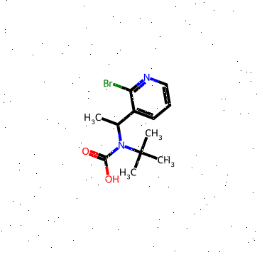 CC(c1cccnc1Br)N(C(=O)O)C(C)(C)C